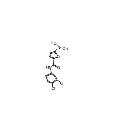 O=C(Nc1ccc(Cl)c(Cl)c1)c1ccc(N(O)O)o1